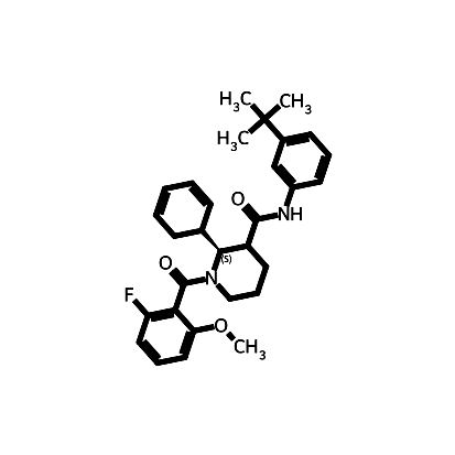 COc1cccc(F)c1C(=O)N1CCCC(C(=O)Nc2cccc(C(C)(C)C)c2)[C@@H]1C1C=CC=CC1